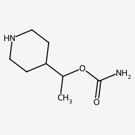 CC(OC(N)=O)C1CCNCC1